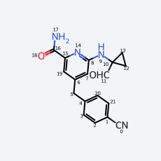 N#Cc1ccc(Cc2cc(NC3(C=O)CC3)nc(C(N)=O)c2)cc1